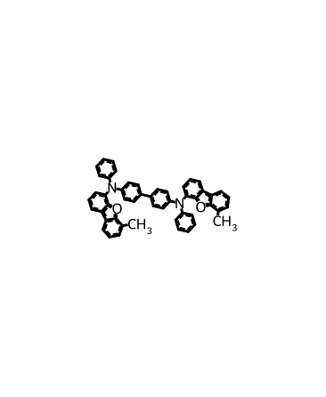 Cc1cccc2c1oc1c(N(c3ccccc3)c3ccc(-c4ccc(N(c5ccccc5)c5cccc6c5oc5c(C)cccc56)cc4)cc3)cccc12